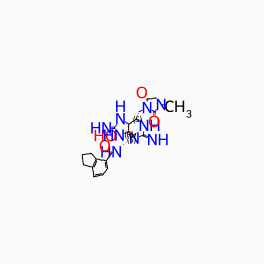 CN1CC(=O)N(C[C@@H]2NC(=N)N3C[C@H](NC(=O)c4cccc5c4CCC5)[C@@H](O)C34NC(=N)NC24)C1=O